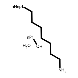 CCCCCCCCCCCCCCN.CCCO.O